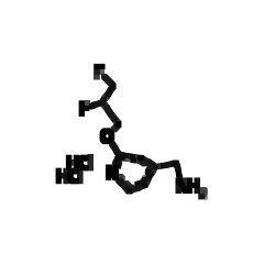 Cl.Cl.NCc1ccnc(OCC(F)CF)c1